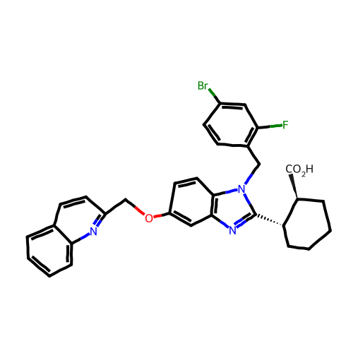 O=C(O)[C@H]1CCCC[C@@H]1c1nc2cc(OCc3ccc4ccccc4n3)ccc2n1Cc1ccc(Br)cc1F